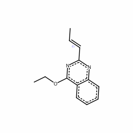 C/C=C/c1nc(OCC)c2ccccc2n1